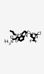 CCCNc1c(C(N)=O)oc2ccc3nc(Oc4cc(C(F)F)nc(Cl)n4)ccc3c12